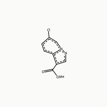 COC(=O)c1cnn2cc(Cl)ccc12